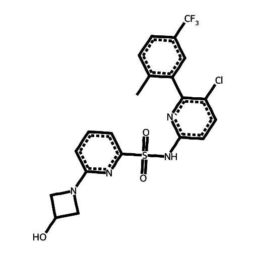 Cc1ccc(C(F)(F)F)cc1-c1nc(NS(=O)(=O)c2cccc(N3CC(O)C3)n2)ccc1Cl